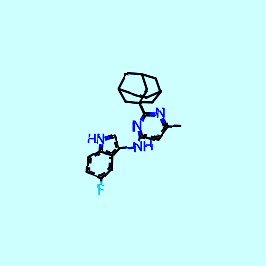 Cc1cc(Nc2c[nH]c3ccc(F)cc23)nc(C23CC4CC(CC(C4)C2)C3)n1